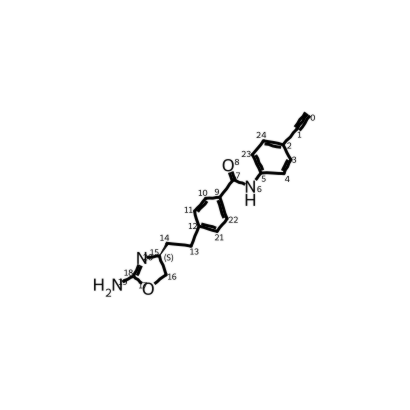 C#Cc1ccc(NC(=O)c2ccc(CC[C@H]3COC(N)=N3)cc2)cc1